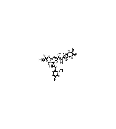 CN(C(=O)NCc1ccc(F)cc1Cl)[C@H](COC(=O)Nc1nc2cc(F)c(F)cc2s1)CC(C)(C)O